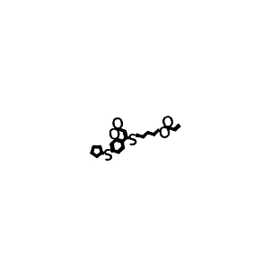 C=CC(=O)OCCCCCSc1cc(=O)oc2cc(SC3CCCC3)ccc12